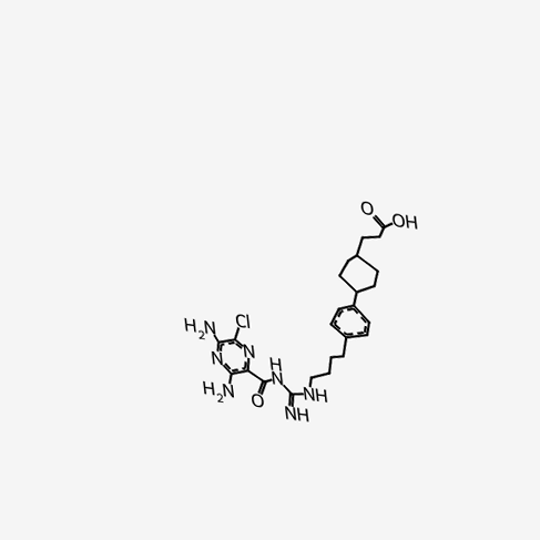 N=C(NCCCCc1ccc(C2CCC(CCC(=O)O)CC2)cc1)NC(=O)c1nc(Cl)c(N)nc1N